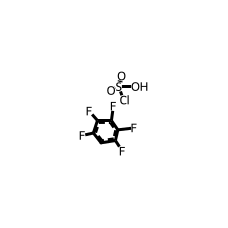 Fc1cc(F)c(F)c(F)c1F.O=S(=O)(O)Cl